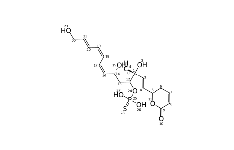 C[C@@](O)(/C=C/C1CC=CC(=O)O1)C(C[C@@H](O)\C=C/C=C\C=C\CO)OP(O)(O)=S